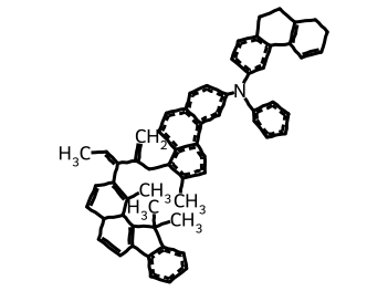 C=C(Cc1c(C)ccc2c1ccc1ccc(N(c3ccccc3)c3ccc4c(c3)C3=C(CCC=C3)CC4)cc12)/C(=C/C)C1=C(C)C2C3=C(C=CC2C=C1)c1ccccc1C3(C)C